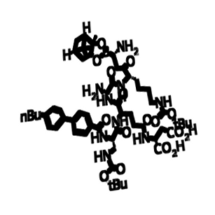 CCCCc1ccc(-c2ccc(C(=O)N[C@@H](CNC(=O)OC(C)(C)C)C(=O)NC(CCC(=O)N[C@H](CC(=O)O)C(=O)O)C(=O)N[C@@H](N)C(=O)N[C@@H](CCCCNC(=O)OC(C)(C)C)C(=O)C[C@@H](N)B3OC4C[C@@H]5C[C@@H](C5(C)C)[C@]4(C)O3)cc2)cc1